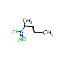 CCCC(C)NCl.Cl